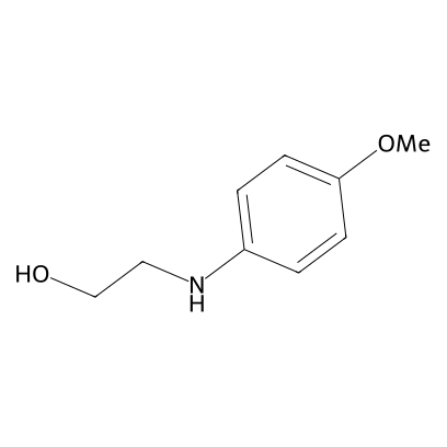 COc1ccc(NCCO)cc1